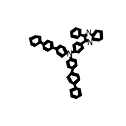 c1ccc(-c2ccc(-c3ccc(N(c4ccc(-c5ccc(-c6ccccc6)cc5)cc4)c4ccc(-c5nc6ccccc6nc5-c5ccccc5)cc4)cc3)cc2)cc1